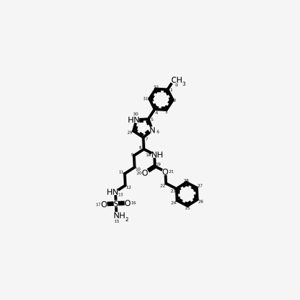 Cc1ccc(-c2nc(C(CCCCNS(N)(=O)=O)NC(=O)OCc3ccccc3)c[nH]2)cc1